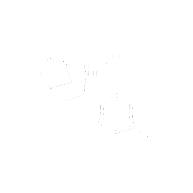 Cl.Cl.Clc1cnc(C2CC3CCN(C3)N2)cn1.O